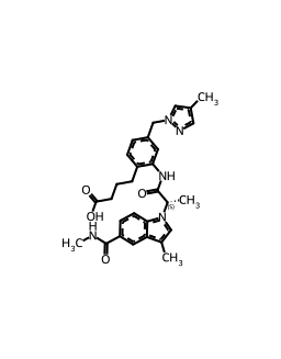 CNC(=O)c1ccc2c(c1)c(C)cn2[C@@H](C)C(=O)Nc1cc(Cn2cc(C)cn2)ccc1CCCC(=O)O